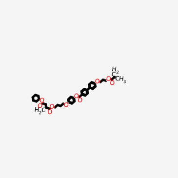 C=C(C)C(=O)OCCCOc1ccc(-c2ccc(C(=O)Oc3ccc(OCCCCOC(=O)C(=C)CC(=O)OC4CCCCC4)cc3)cc2)cc1